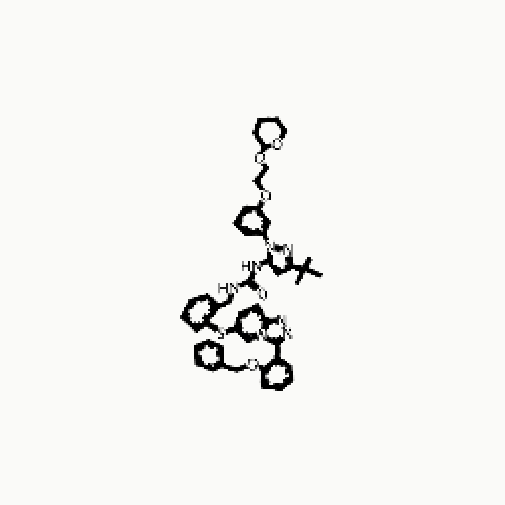 CC(C)(C)c1cc(NC(=O)NCc2ccccc2Sc2ccc3nnc(-c4ccccc4OCc4ccccc4)n3c2)n(-c2cccc(OCCOC3CCCCO3)c2)n1